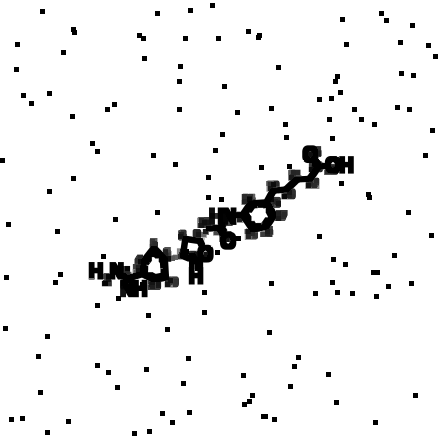 N=C(N)c1ccc([C@@H]2C[C@H](CC(=O)Nc3cccc(CCCCC(=O)O)c3)ON2)cc1